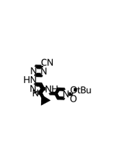 CC(C)(C)OC(=O)N1CCC(CNc2cc(Nc3cnc(C#N)cn3)nnc2C2CC2)CC1